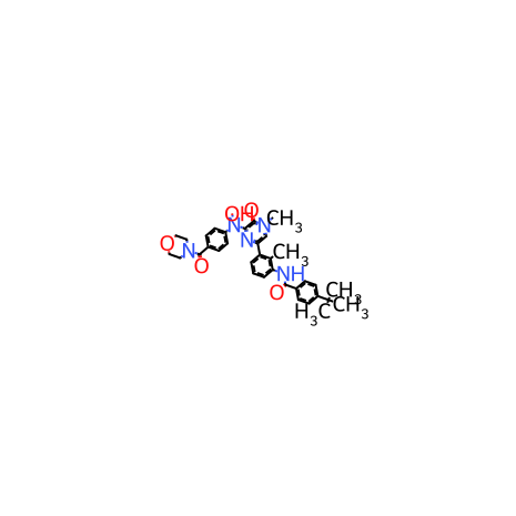 Cc1c(NC(=O)c2ccc(C(C)(C)C)cc2)cccc1-c1cn(C)c(=O)c(N(O)c2ccc(C(=O)N3CCOCC3)cc2)n1